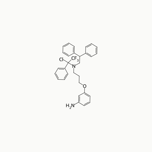 Nc1cccc(OCCCN(CC(c2ccccc2)c2ccccc2)C(Cl)(c2ccccc2)C(F)(F)F)c1